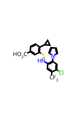 O=C(O)c1ccc(C2CC2)c(SNc2cc(C(F)(F)F)c(Cl)cc2-n2cccc2)c1